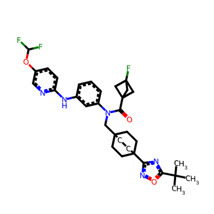 CC(C)(C)c1nc(C23CCC(CN(C(=O)C45CC(F)(C4)C5)c4cccc(Nc5ccc(OC(F)F)cn5)c4)(CC2)CC3)no1